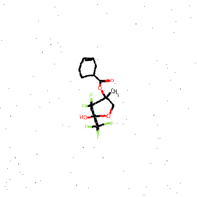 CC1(OC(=O)C2CC=CCC2)COC(O)(C(F)(F)F)C1(F)F